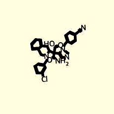 N#Cc1ccc(Cn2cncc2C(C(N)=O)(C(=O)O)C2Cc3ccccc3CN2Cc2cccc(Cl)c2)cc1